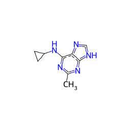 Cc1nc(NC2CC2)c2nc[nH]c2n1